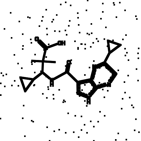 CC(C)(C(=O)O)C(NC(=O)c1c[nH]c2ncc(C3CC3)nc12)C1CC1